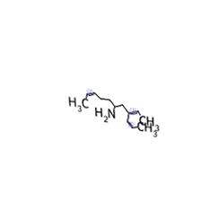 C/C=C\CCC(N)CC(/C=C\C)=C/C